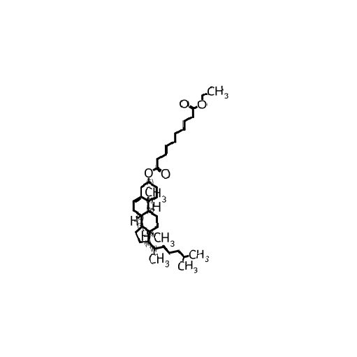 CCOC(=O)CCCCCCCCC(=O)O[C@H]1CC[C@@]2(C)C(=CC[C@H]3[C@@H]4CC[C@H]([C@H](C)CCCC(C)C)[C@@]4(C)CC[C@@H]32)C1